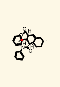 C[C@@H]1CC[C@@H]2C(=C[C@@H]3C(=O)O[C@H](C)[C@H]3[C@H]2C(=O)N(c2ccccc2)c2ccccc2)C1